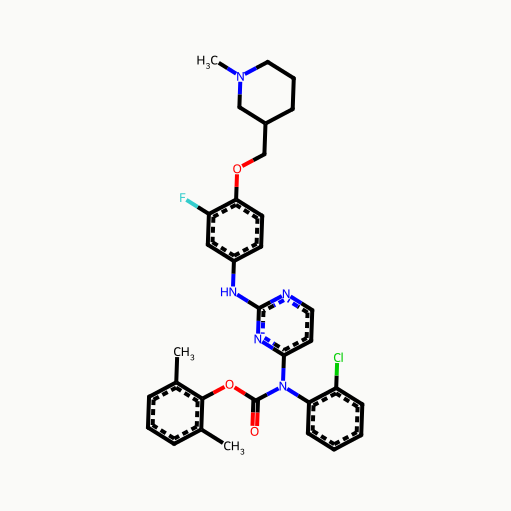 Cc1cccc(C)c1OC(=O)N(c1ccnc(Nc2ccc(OCC3CCCN(C)C3)c(F)c2)n1)c1ccccc1Cl